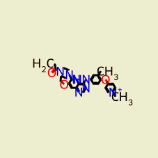 C=CC(=O)N1CCN2CC1COc1cc3ncnc(Nc4ccc(Oc5cc[n+](C)cc5)c(C)c4)c3nc12